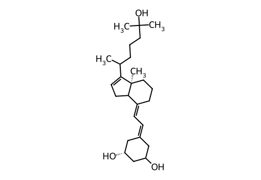 CC(CCCC(C)(C)O)C1=CCC2/C(=C/C=C3/CC(O)C[C@H](O)C3)CCC[C@]12C